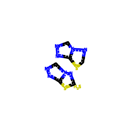 S.c1nn2cnnc2s1.c1nn2cnnc2s1